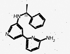 C[C@H](Nc1cncc(-c2cccc(N)n2)c1)c1ccccc1